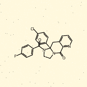 O=C(c1ccc(F)cc1)N1CCN2C(=O)c3ncccc3CC12c1ccc(Cl)cc1